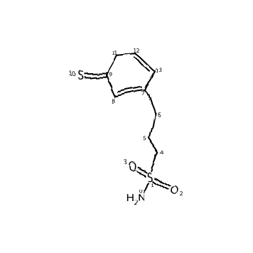 NS(=O)(=O)CCCC1=CC(=S)CC=C1